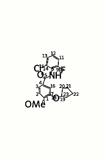 COc1ccc(C(=O)Nc2c(F)cccc2Cl)cc1OC1CCCC1